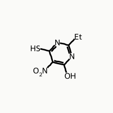 CCc1nc(O)c([N+](=O)[O-])c(S)n1